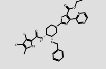 CCOC(=O)c1sc(N2CC[C@@H](NC(=O)c3[nH]c(C)c(Cl)c3Cl)[C@@H](OCc3ccccc3)C2)nc1-c1cnccn1